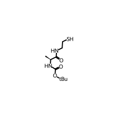 C[C@H](NC(=O)OC(C)(C)C)C(=O)NCCS